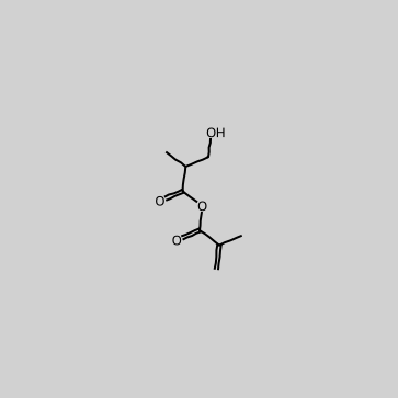 C=C(C)C(=O)OC(=O)C(C)CO